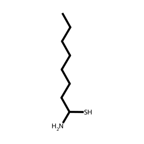 CCCCCCCC(N)S